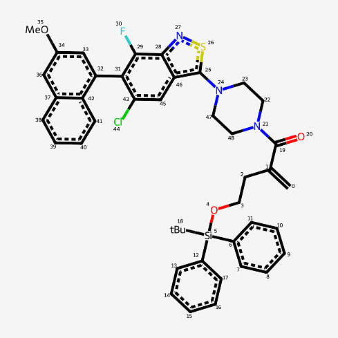 C=C(CCO[Si](c1ccccc1)(c1ccccc1)C(C)(C)C)C(=O)N1CCN(c2snc3c(F)c(-c4cc(OC)cc5ccccc45)c(Cl)cc23)CC1